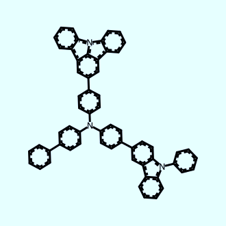 c1ccc(-c2ccc(N(c3ccc(-c4ccc5c(c4)c4ccccc4n5-c4ccccc4)cc3)c3ccc(-c4cc5c6ccccc6n6c7ccccc7c(c4)c56)cc3)cc2)cc1